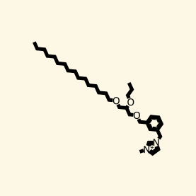 CCCCCCCCCCCCCCCCOCC(COCc1cccc(Cn2cc[n+](C)c2)c1)OCCC